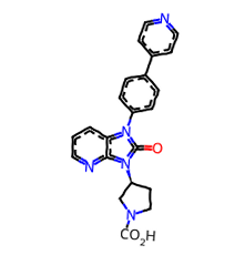 O=C(O)N1CC[C@H](n2c(=O)n(-c3ccc(-c4ccncc4)cc3)c3cccnc32)C1